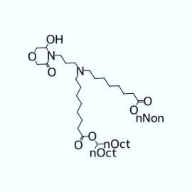 CCCCCCCCCOC(=O)CCCCCCCN(CCCCCCCC(=O)OC(CCCCCCCC)CCCCCCCC)CCCN1C(=O)COCC1O